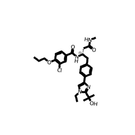 CCCOc1ccc(C(=O)N[C@H](CC(=O)NC)Cc2ccc(-c3cn(CC)c(C(C)(C)O)n3)cc2)cc1Cl